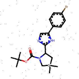 CC(C)(C)OC(=O)N1C[Si](C)(C)CC1c1ncc(-c2ccc(Br)cc2)[nH]1